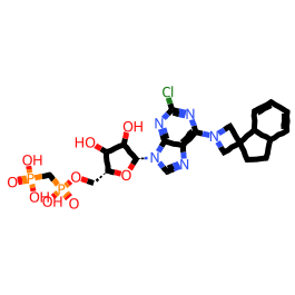 O=P(O)(O)CP(=O)(O)OC[C@H]1O[C@@H](n2cnc3c(N4CC5(CCC6C=CC=CC65)C4)nc(Cl)nc32)C(O)C1O